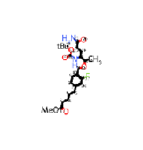 COC(=O)CCCCc1ccc(COC(C)C(CCC(N)=O)NC(=O)OC(C)(C)C)c(F)c1